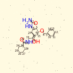 NC(=O)Nc1cc(OCc2ccccc2)cc(C(O)CNC(=O)C2CCCCC2)c1